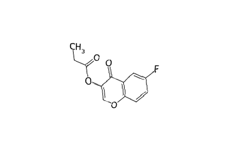 CCC(=O)Oc1coc2ccc(F)cc2c1=O